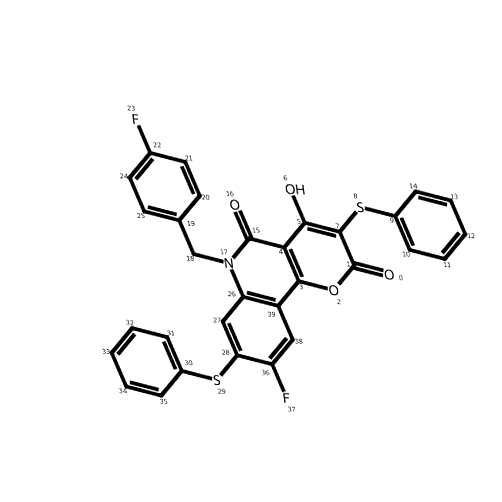 O=c1oc2c(c(O)c1Sc1ccccc1)c(=O)n(Cc1ccc(F)cc1)c1cc(Sc3ccccc3)c(F)cc21